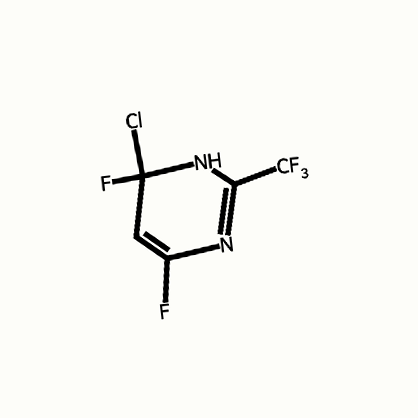 FC1=CC(F)(Cl)NC(C(F)(F)F)=N1